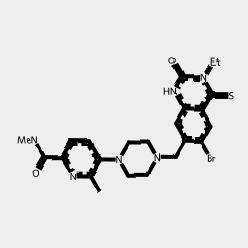 CCn1c(=O)[nH]c2cc(CN3CCN(c4ccc(C(=O)NC)nc4C)CC3)c(Br)cc2c1=S